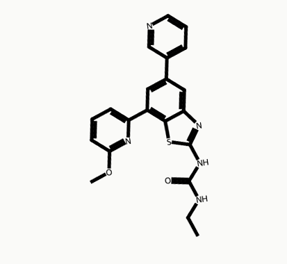 CCNC(=O)Nc1nc2cc(-c3cccnc3)cc(-c3cccc(OC)n3)c2s1